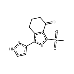 CS(=O)(=O)c1sc(-c2cc[nH]n2)c2c1C(=O)CCC2